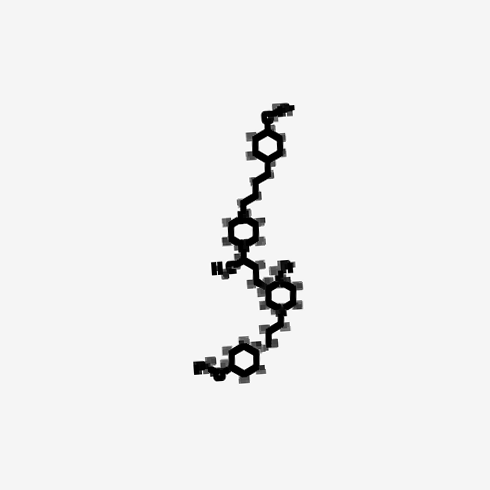 CC(C)OC1CCC(CCCCN2CCN(C(C)CC[C@@H]3CN(CCC[C@H]4CC[C@H](OC(C)C)CC4)CCN3C(C)C)CC2)CC1